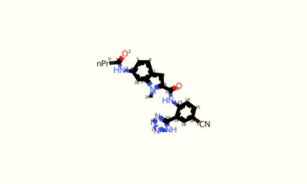 CCCC(=O)Nc1ccc2cc(C(=O)Nc3ccc(C#N)cc3-c3nnn[nH]3)n(C)c2c1